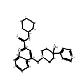 N#CC1(c2ccncc2)CCN(Cc2cc(C(=O)NC3CCCCC3)nc3ccccc23)CC1